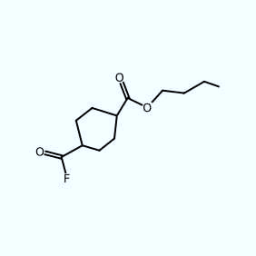 CCCCOC(=O)C1CCC(C(=O)F)CC1